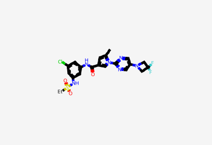 CCS(=O)(=O)Nc1cc(Cl)cc(NC(=O)c2cc(C)n(-c3ncc(N4CC(F)(F)C4)cn3)c2)c1